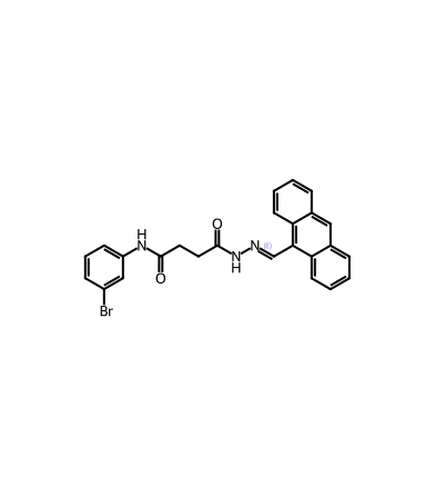 O=C(CCC(=O)Nc1cccc(Br)c1)N/N=C/c1c2ccccc2cc2ccccc12